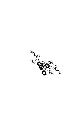 Cc1cc(C)c(C(=O)P(=O)(C(=O)c2c(C)cc(C)c(COC(=O)CCBr)c2C)c2ccccc2)c(C)c1COC(=O)CCBr